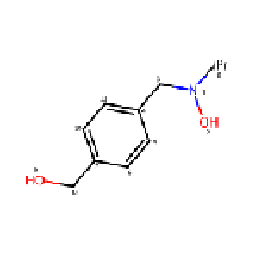 CC(C)N(O)Cc1ccc(CO)cc1